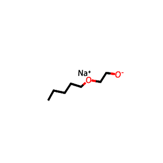 CCCCCOCC[O-].[Na+]